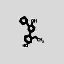 CCc1cc(O)ccc1-c1ccc(O)c(-c2ccccc2)c1